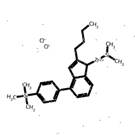 CCCCC1=Cc2c(-c3ccc([Si](C)(C)C)cc3)cccc2[CH]1[Zr+2][Si](C)C.[Cl-].[Cl-]